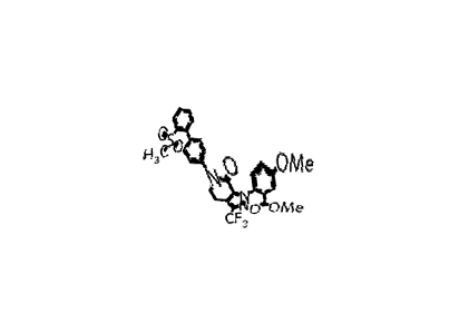 COC(=O)c1cc(OC)ccc1-n1nc(C(F)(F)F)c2c1C(=O)N(c1ccc(-c3ccccc3S(C)(=O)=O)cc1)CC2